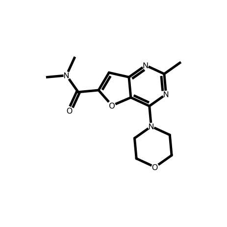 Cc1nc(N2CCOCC2)c2oc(C(=O)N(C)C)cc2n1